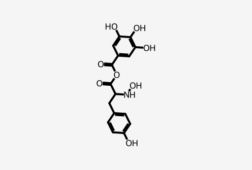 O=C(OC(=O)C(Cc1ccc(O)cc1)NO)c1cc(O)c(O)c(O)c1